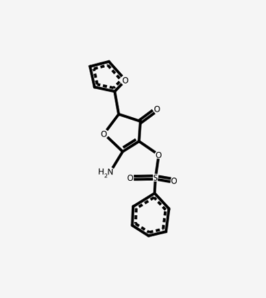 NC1=C(OS(=O)(=O)c2ccccc2)C(=O)C(c2ccco2)O1